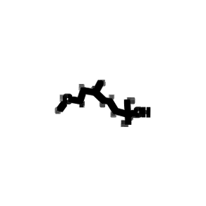 COCCC(C)CCCC(C)(C)O